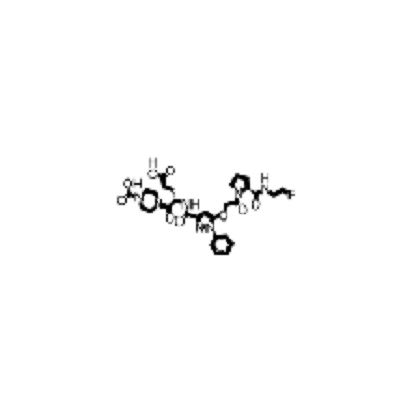 O=C(O)CC[C@H](NC(=O)c1cc(OCC(=O)N2CCC[C@H]2C(=O)NCCF)n(-c2ccccc2)n1)C(=O)N1CCN(C(=O)O)CC1